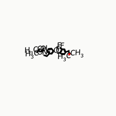 CC(C)Cc1ccc(COc2ccc3c(c2)CCN3C(=O)OC(C)(C)C)c(C(F)(F)F)c1